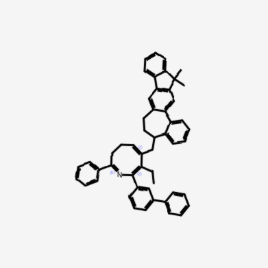 CCC1=C(c2cccc(-c3ccccc3)c2)/N=C(/c2ccccc2)CC/C=C\1CC1CCc2cc3c(cc2-c2ccccc21)C(C)(C)c1ccccc1-3